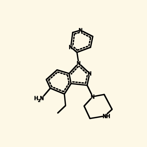 CCc1c(N)ccc2c1c(N1CCNCC1)nn2-c1ccncn1